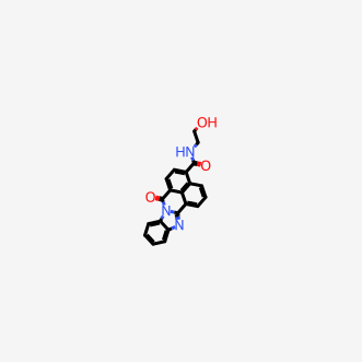 O=C(NCCO)c1ccc2c(=O)n3c4ccccc4nc3c3cccc1c23